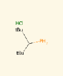 CC(C)(C)C(P)C(C)(C)C.Cl